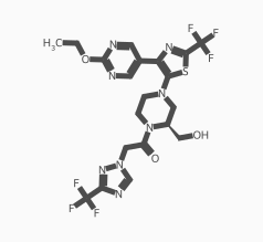 CCOc1ncc(-c2nc(C(F)(F)F)sc2N2CCN(C(=O)Cn3cnc(C(F)(F)F)n3)[C@H](CO)C2)cn1